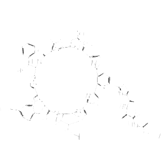 C=C(NC(=O)C(=C)NC(=O)c1csc(-c2ccc3c(n2)-c2csc(n2)-c2csc(n2)C(C(C)C(C)O)NC(=O)C(Cc2ccc(O)cc2)NC(=O)c2csc(n2)C(C(O)c2ccccc2)NC(=O)c2nc(sc2C)C(CC(N)=O)NC(=O)c2csc-3n2)n1)C(=O)O